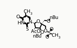 CCCCOC[C@@]1(COS(C)(=O)=O)O[C@@H](n2cc(C)c(=O)[nH]c2=S)[C@@H](OC(C)=O)C1OCCCC